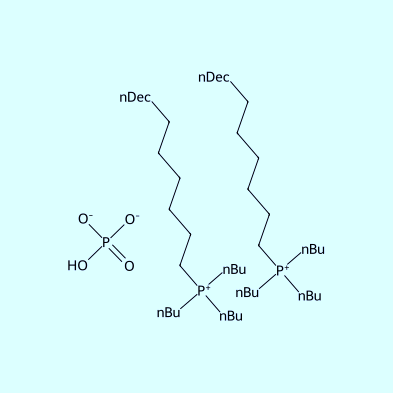 CCCCCCCCCCCCCCCC[P+](CCCC)(CCCC)CCCC.CCCCCCCCCCCCCCCC[P+](CCCC)(CCCC)CCCC.O=P([O-])([O-])O